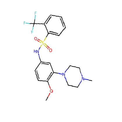 COc1ccc(NS(=O)(=O)c2ccccc2C(F)(F)F)cc1N1CCN(C)CC1